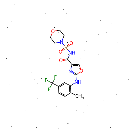 Cc1ccc(C(F)(F)F)cc1Nc1nc(C(=O)NS(=O)(=O)N2CCOCC2)co1